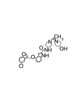 C[C@@H](CN1CCC(NC(=O)c2cc3c(OCc4coc5ccc(Cl)cc45)cccc3[nH]2)CC1)N1CCC(O)CC1